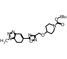 Cn1nnc2c1CCC(c1nc(COC3CCN(C(=O)OC(C)(C)C)CC3)no1)=C2